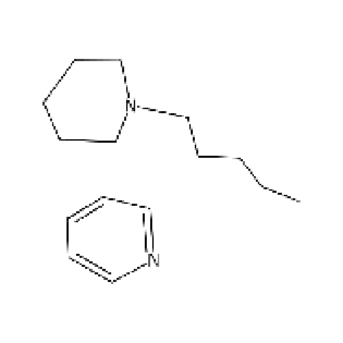 CCCCCN1CCCCC1.c1ccncc1